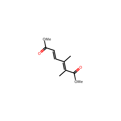 COC(=O)/C=C/C(C)=C(\C)C(=O)OC